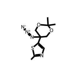 Cc1ncc(C2(N=[N+]=[N-])COC(C)(C)OC2)s1